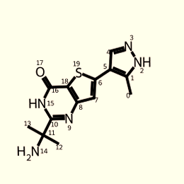 Cc1[nH]ncc1-c1cc2nc(C(C)(C)N)[nH]c(=O)c2s1